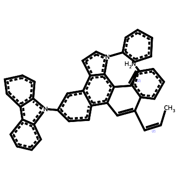 C/C=C\C(=Cc1c(/C=C\N)c2c(ccn2-c2ccccc2)c2cc(-n3c4ccccc4c4ccccc43)ccc12)c1ccccc1